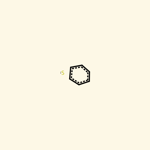 [S].c1ccccc1